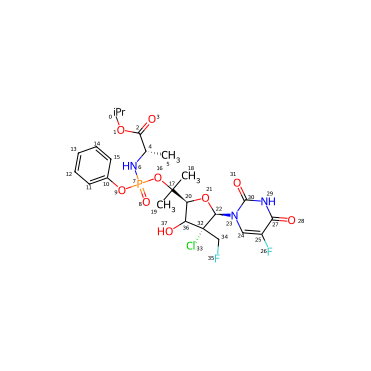 CC(C)OC(=O)[C@H](C)NP(=O)(Oc1ccccc1)OC(C)(C)[C@H]1O[C@@H](n2cc(F)c(=O)[nH]c2=O)[C@@](Cl)(CF)C1O